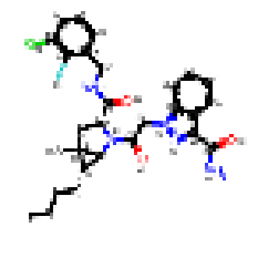 CCCC[C@H]1C2[C@H]1C[C@@H](C(=O)NCc1cccc(Cl)c1F)N2C(=O)Cn1nc(C(N)=O)c2ccccc21